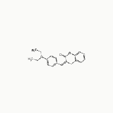 CCN(CC)c1ccc(C=C2Cc3ccccc3OC2=O)cc1